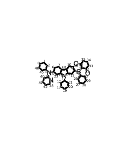 c1ccc(N(c2ccc3c4cc5c(cc4n(-c4ccccc4)c3c2)B2c3ccccc3Oc3cccc(c32)O5)c2ccccn2)cc1